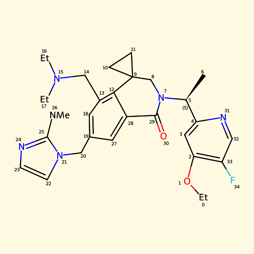 CCOc1cc([C@H](C)N2CC3(CC3)c3c(CN(CC)CC)cc(Cn4ccnc4NC)cc3C2=O)ncc1F